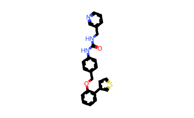 O=C(NCc1cccnc1)Nc1ccc(COc2ccccc2-c2ccsc2)cc1